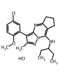 CCC(CC)Nc1c2c(nc3c(-c4cc(Cl)ccc4OC)c(C)nn13)CCC2.Cl